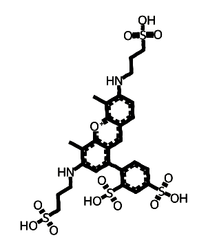 Cc1c(NCCCS(=O)(=O)O)ccc2cc3c(-c4ccc(S(=O)(=O)O)cc4S(=O)(=O)O)cc(NCCCS(=O)(=O)O)c(C)c3[o+]c12